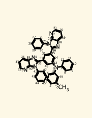 Cc1cccc(N(c2ccccc2)c2cc(-c3nc4cccnc4n3-c3ccccc3)cc(-c3nc4cccnc4n3-c3ccccc3)c2)c1